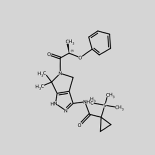 C[C@@H](Oc1ccccc1)C(=O)N1Cc2c(NC(=O)C3(S(C)(C)C)CC3)n[nH]c2C1(C)C